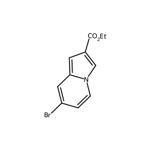 CCOC(=O)c1cc2cc(Br)ccn2c1